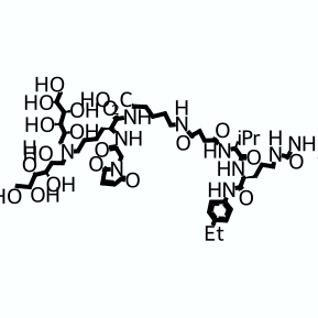 CCc1ccc(NC(=O)[C@H](CCCNC(N)=O)NC(=O)[C@@H](NC(=O)CCC(=O)NCCCC[C@H](NC(=O)[C@H](CCCCN(C[C@H](O)[C@@H](O)[C@H](O)[C@H](O)CO)C[C@H](O)[C@@H](O)[C@H](O)[C@H](O)CO)NC(=O)CN2C(=O)C=CC2=O)C(=O)O)C(C)C)cc1